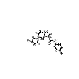 O=C(Nc1ccc(F)cn1)c1cnc2ccc(N3CC[C@H](F)C3)nn12